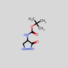 CC(C)(C)OC(=O)NC1CNNC1=O